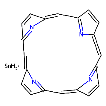 C1=CC2=NC1=CC1=NC(=CC3=NC(=CC4=NC(=C2)C=C4)C=C3)C=C1.[SnH2]